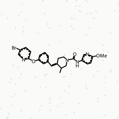 COc1ccc(NC(=O)N2CCC(=Cc3cccc(Oc4ccc(Br)cn4)c3)C(C)C2)cn1